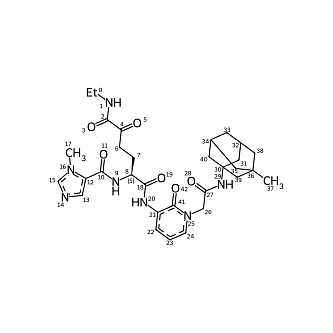 CCNC(=O)C(=O)CC[C@H](NC(=O)c1cncn1C)C(=O)Nc1cccn(CC(=O)NC23CC4CC(CC(C)(C4)C2)C3)c1=O